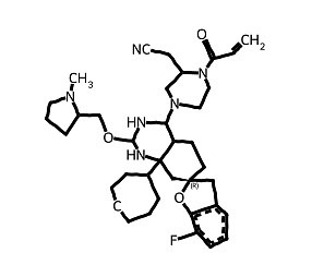 C=CC(=O)N1CCN(C2NC(OCC3CCCN3C)NC3(C4CCCCCC4)C[C@@]4(CCC23)Cc2cccc(F)c2O4)CC1CC#N